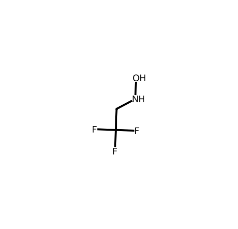 ONCC(F)(F)F